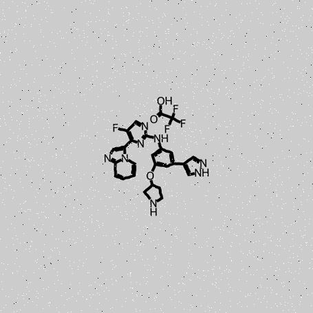 Fc1cnc(Nc2cc(OC3CCNC3)cc(-c3cn[nH]c3)c2)nc1-c1cnc2ccccn12.O=C(O)C(F)(F)F